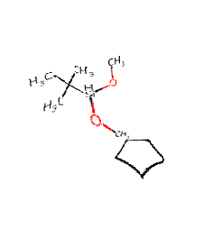 C1CCCC1.CO[SiH](OC)C(C)(C)C